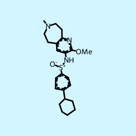 COc1nc2c(cc1N[S+]([O-])c1ccc(C3CCCCC3)cc1)CCN(C)CC2